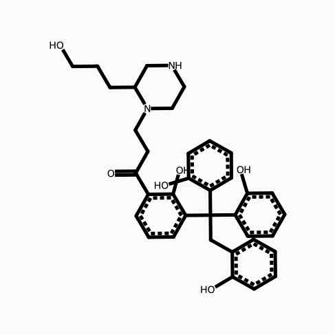 O=C(CCN1CCNCC1CCCO)c1cccc(C(Cc2ccccc2O)(c2ccccc2O)c2ccccc2O)c1O